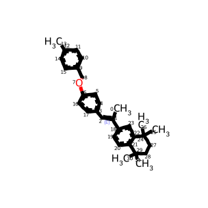 C/C(=C\c1ccc(OCc2ccc(C)cc2)cc1)c1ccc2c(c1)C(C)(C)CCC2(C)C